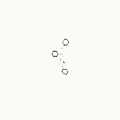 COc1ccc(NC(=O)N2CCc3c(ccc(OC)c3OCc3ccccc3)C2)cc1